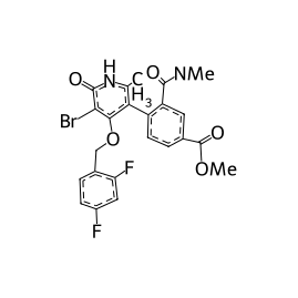 CNC(=O)c1cc(C(=O)OC)ccc1-c1c(C)[nH]c(=O)c(Br)c1OCc1ccc(F)cc1F